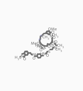 COc1cc2cc(c1Cl)N(C)C(=O)C[C@H](OC(=O)[C@H](C)N(C)C(=O)CCSCC(=O)NCC1CCC(C(=O)NCCc3ccc4c(c3)C(=O)N(C)C4)CC1)C1CC(C)(O1)C1CC(O)(NC(=O)O1)C(OC)/C=C/C=C(\C)C2